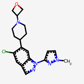 Cn1ccc(-n2ncc3cc(Cl)c(C4CCN(C5COC5)CC4)cc32)n1